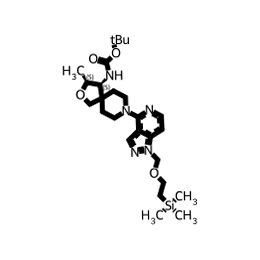 C[C@@H]1OCC2(CCN(c3nccc4c3cnn4COCC[Si](C)(C)C)CC2)[C@@H]1NC(=O)OC(C)(C)C